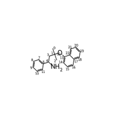 CC(C)(CC(N)c1ccccc1)Oc1cccc2ccccc12